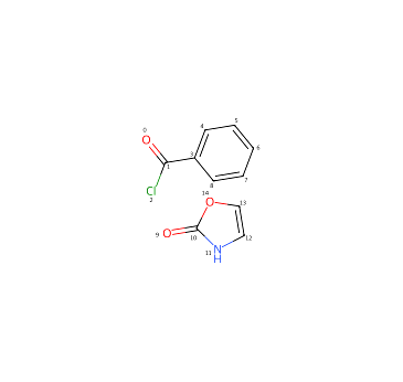 O=C(Cl)c1ccccc1.O=c1[nH]cco1